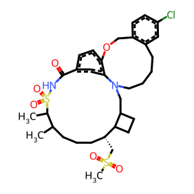 CC1CCC[C@@H](CS(C)(=O)=O)C2CCC2CN2CCCCc3cc(Cl)ccc3COc3ccc(cc32)C(=O)NS(=O)(=O)C1C